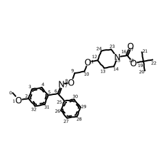 COc1ccc(C(=NOCCOC2CCN(C(=O)OC(C)(C)C)CC2)c2ccccc2)cc1